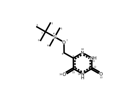 CC(C)(C)[Si](C)(C)OCc1n[nH]c(=O)[nH]c1=O